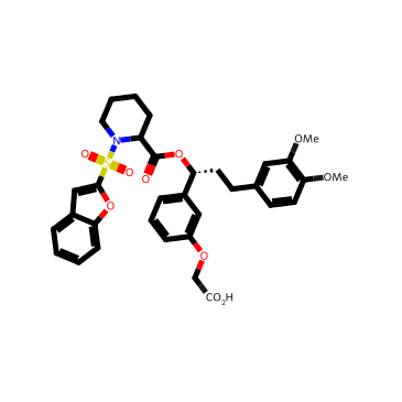 COc1ccc(CC[C@@H](OC(=O)C2CCCCN2S(=O)(=O)c2cc3ccccc3o2)c2cccc(OCC(=O)O)c2)cc1OC